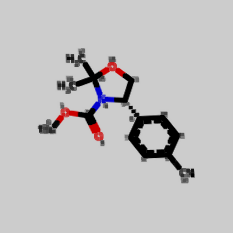 CC(C)(C)OC(=O)N1[C@@H](c2ccc(C#N)cc2)COC1(C)C